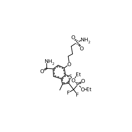 CCOP(=O)(OCC)C(F)(F)c1sc2c(OCCCS(N)(=O)=O)cc(C(N)=O)cc2c1C